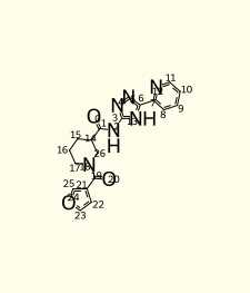 O=C(Nc1nnc(-c2ccccn2)[nH]1)C1CCCN(C(=O)c2ccoc2)C1